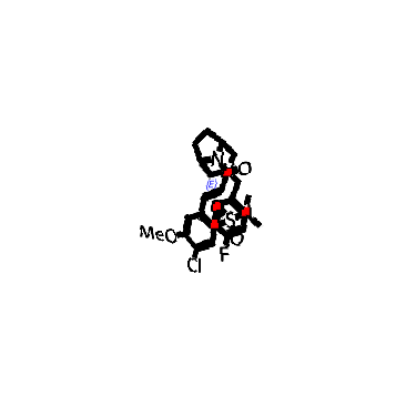 COc1cc(/C=C/C(=O)N2C3CCC2CN(Cc2ccc(F)cc2)C3)c(S(=O)(=O)N(C)C)cc1Cl